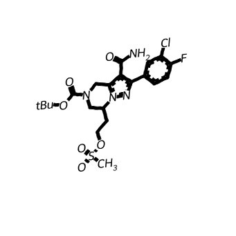 CC(C)(C)OC(=O)N1Cc2c(C(N)=O)c(-c3ccc(F)c(Cl)c3)nn2C(CCOS(C)(=O)=O)C1